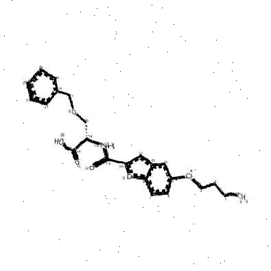 CCCCOc1ccc2oc(C(=O)N[C@@H](COCc3ccccc3)C(=O)O)cc2c1